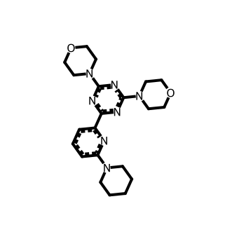 c1cc(-c2nc(N3CCOCC3)nc(N3CCOCC3)n2)nc(N2CCCCC2)c1